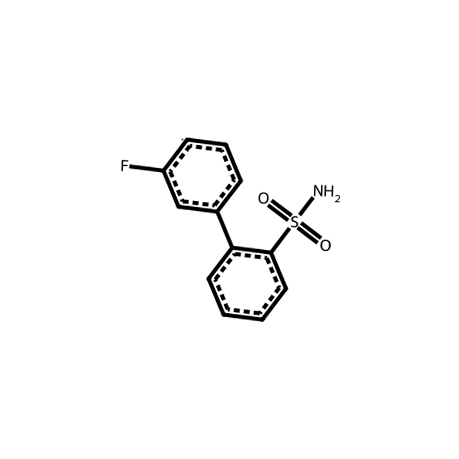 NS(=O)(=O)c1ccccc1-c1cc[c]c(F)c1